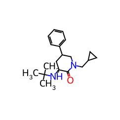 CC(C)(C)NC1CC(c2ccccc2)CN(CC2CC2)C1=O